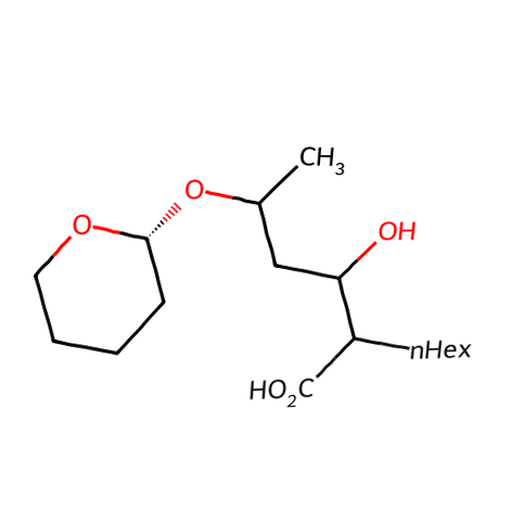 CCCCCCC(C(=O)O)C(O)CC(C)O[C@@H]1CCCCO1